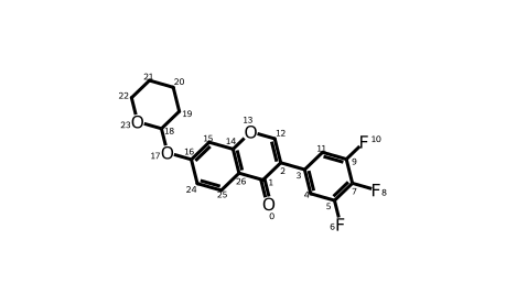 O=c1c(-c2cc(F)c(F)c(F)c2)coc2cc(OC3CCCCO3)ccc12